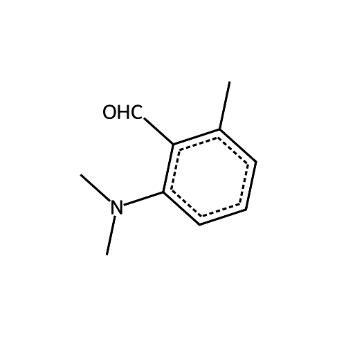 Cc1cccc(N(C)C)c1C=O